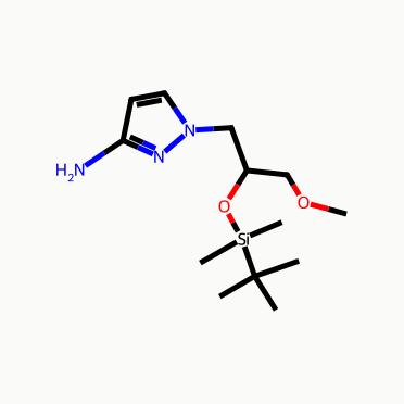 COCC(Cn1ccc(N)n1)O[Si](C)(C)C(C)(C)C